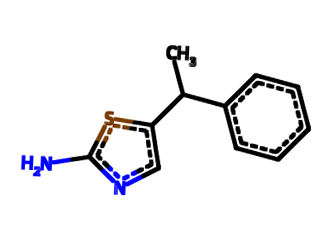 CC(c1ccccc1)c1cnc(N)s1